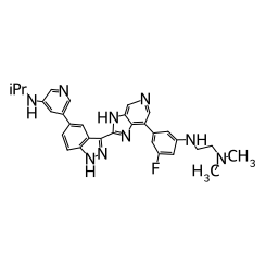 CC(C)Nc1cncc(-c2ccc3[nH]nc(-c4nc5c(-c6cc(F)cc(NCCN(C)C)c6)cncc5[nH]4)c3c2)c1